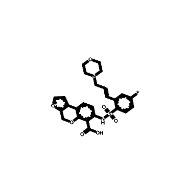 O=C(O)c1c(NS(=O)(=O)c2ccc(F)cc2C=CCN2CCOCC2)ccc2c1OCc1occc1-2